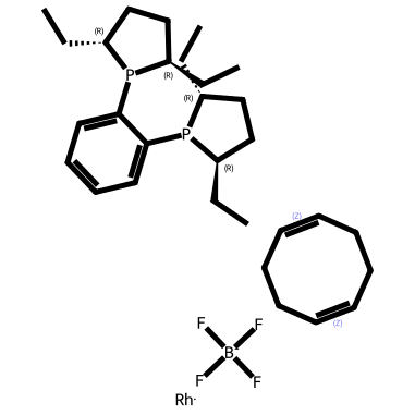 C1=C\CC/C=C\CC/1.CC[C@@H]1CC[C@@H](CC)P1c1ccccc1P1[C@H](CC)CC[C@H]1CC.F[B-](F)(F)F.[Rh]